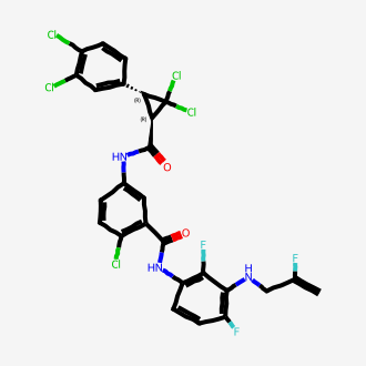 C=C(F)CNc1c(F)ccc(NC(=O)c2cc(NC(=O)[C@H]3[C@H](c4ccc(Cl)c(Cl)c4)C3(Cl)Cl)ccc2Cl)c1F